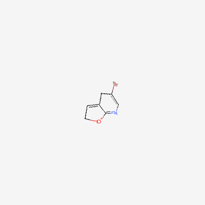 BrC1=CN=C2OCC=C2C1